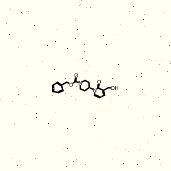 O=C(OCc1ccccc1)N1CCC(n2cccc(CO)c2=O)CC1